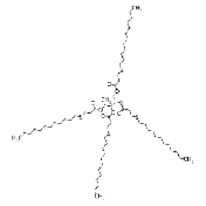 CCCCCCCCCCCCSCCC(=O)OCC(OC(=O)CCSCCCCCCCCCCCC)C(OC(=O)CCSCCCCCCCCCCCC)C(C)OC(=O)CCSCCCCCCCCCCCC